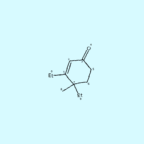 CCC1=CC(=O)CCC1(C)CC